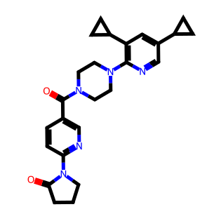 O=C(c1ccc(N2CCCC2=O)nc1)N1CCN(c2ncc(C3CC3)cc2C2CC2)CC1